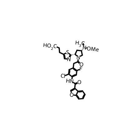 CON(C)[C@H]1C[C@@H](c2ncc(CCC(=O)O)s2)N(C(=O)Cc2cc(Cl)c(NC(=O)c3coc4ccccc34)cc2F)C1